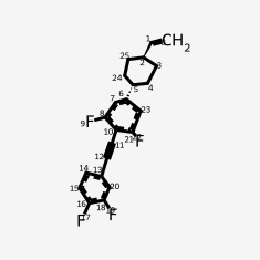 C=C[C@H]1CC[C@H](c2cc(F)c(C#Cc3ccc(F)c(F)c3)c(F)c2)CC1